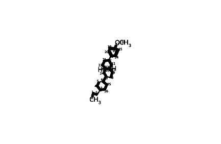 CCC[C@H]1CC[C@H]([C@@H]2CC[C@@H]3C[C@H](c4ccc(OC)cc4)CC[C@@H]3C2)CC1